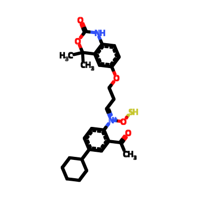 CC(=O)c1cc(C2CCCCC2)ccc1[N+](=CCCOc1ccc2c(c1)C(C)(C)OC(=O)N2)OS